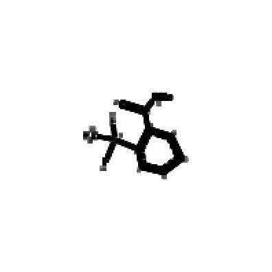 COC(=O)c1ccccc1S(F)(F)C(F)(F)F